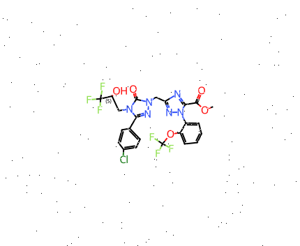 COC(=O)c1nc(Cn2nc(-c3ccc(Cl)cc3)n(C[C@H](O)C(F)(F)F)c2=O)nn1-c1ccccc1OC(F)(F)F